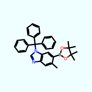 Cc1cc2ncn(C(c3ccccc3)(c3ccccc3)c3ccccc3)c2cc1B1OC(C)(C)C(C)(C)O1